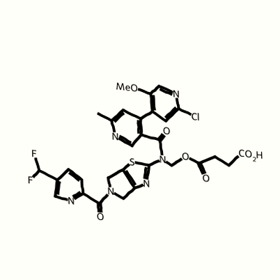 COc1cnc(Cl)cc1-c1cc(C)ncc1C(=O)N(COC(=O)CCC(=O)O)c1nc2c(s1)CN(C(=O)c1ccc(C(F)F)cn1)C2